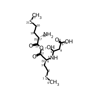 CSCC[C@H](NC(O)CC(=O)O)C(=O)OC(=O)[C@@H](N)CCSC